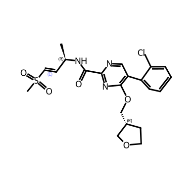 C[C@H](/C=C/S(C)(=O)=O)NC(=O)c1ncc(-c2ccccc2Cl)c(OC[C@@H]2CCOC2)n1